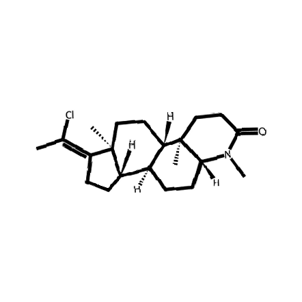 C/C(Cl)=C1\CC[C@H]2[C@@H]3CC[C@H]4N(C)C(=O)CC[C@]4(C)[C@H]3CC[C@]12C